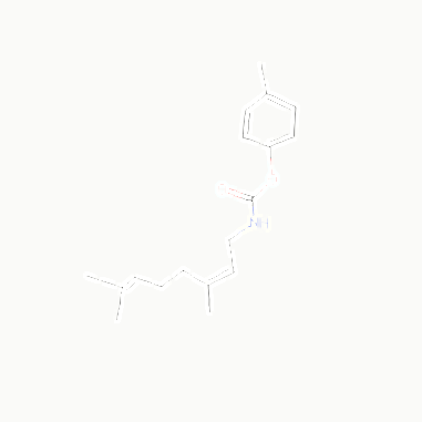 CC(C)=CCC/C(C)=C\CNC(=O)Oc1ccc(C)cc1